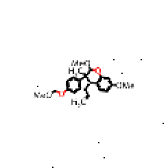 C=CCC1c2ccc(OC)cc2OC(OC)C1(C)c1ccc(OCOC)cc1